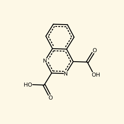 O=C(O)c1nc(C(=O)O)c2ccccc2n1